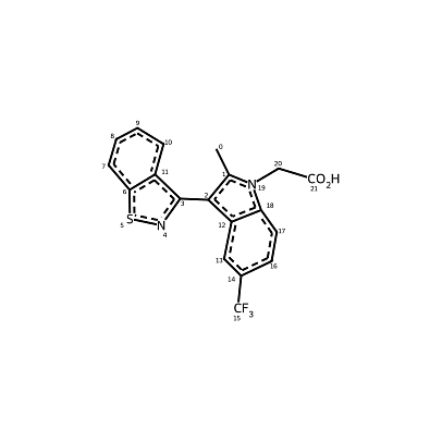 Cc1c(-c2nsc3ccccc23)c2cc(C(F)(F)F)ccc2n1CC(=O)O